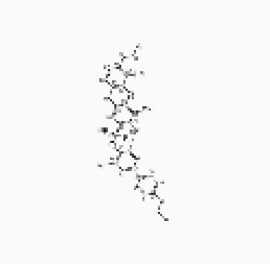 CCCc1ccc(-c2ccc(OC(F)(F)c3cc4c(c(F)c3F)Oc3c(ccc(CCC)c3F)C4)c(F)c2)cc1